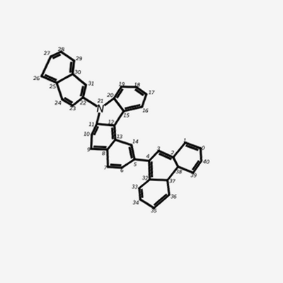 C1=CC2=CC(c3ccc4ccc5c(c4c3)c3ccccc3n5-c3ccc4ccccc4c3)=C3C=CC=CC3C2C=C1